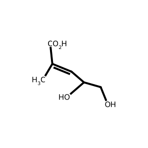 CC(=CC(O)CO)C(=O)O